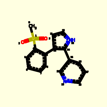 CS(=O)(=O)c1ccccc1-c1cc[nH]c1-c1cccnc1